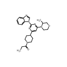 CCC(=O)N1CCC(c2cc(N3CCOCC3C)nc(-n3cnc4ccccc43)n2)CC1